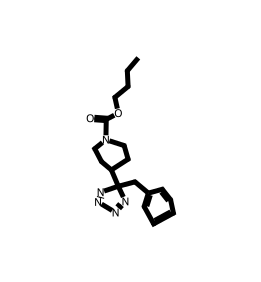 CCCCOC(=O)N1CCC(C2(Cc3ccccc3)N=NN=N2)CC1